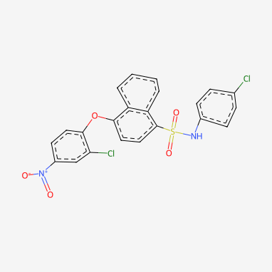 O=[N+]([O-])c1ccc(Oc2ccc(S(=O)(=O)Nc3ccc(Cl)cc3)c3ccccc23)c(Cl)c1